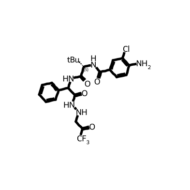 CC(C)(C)[C@H](NC(=O)c1ccc(N)c(Cl)c1)C(=O)NC(C(=O)NNCC(=O)C(F)(F)F)c1ccccc1